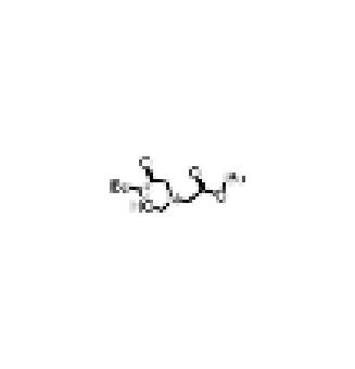 CCC(C)OC(=O)CN(CO)CC(=O)OC(C)CC